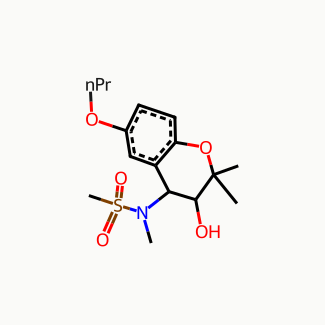 CCCOc1ccc2c(c1)C(N(C)S(C)(=O)=O)C(O)C(C)(C)O2